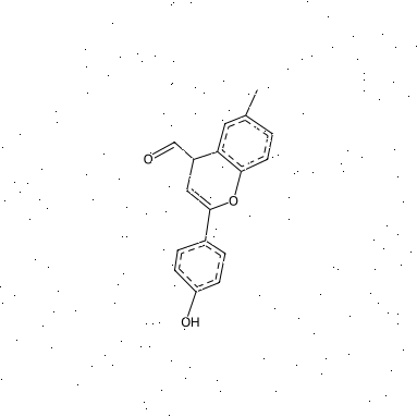 Cc1ccc2c(c1)C(C=O)C=C(c1ccc(O)cc1)O2